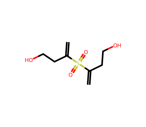 C=C(CCO)S(=O)(=O)C(=C)CCO